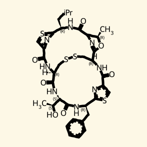 CC(C)C[C@H]1NC(=O)C2N=C(O[C@@H]2C)[C@@H]2CSSC[C@H](NC(=O)c3csc1n3)C(=O)N[C@@H]([C@H](C)O)C(=O)N[C@H](Cc1ccccc1)c1nc(cs1)C(=O)N2